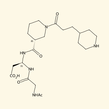 CC(=O)NCC(=O)N[C@@H](CC(=O)O)NC(=O)[C@@H]1CCCN(C(=O)CCC2CCNCC2)C1